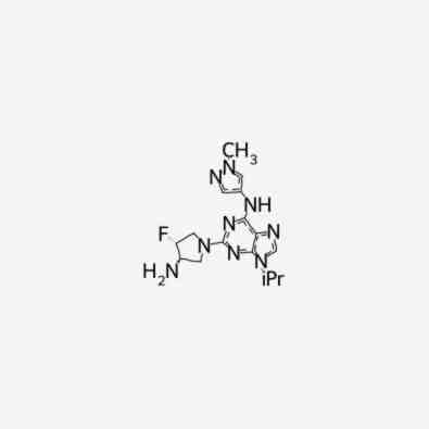 CC(C)n1cnc2c(Nc3cnn(C)c3)nc(N3C[C@@H](N)[C@H](F)C3)nc21